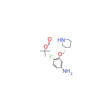 CC(C)(C)OC=O.Nc1ccc(F)c(OC[C@H]2CCCNC2)c1